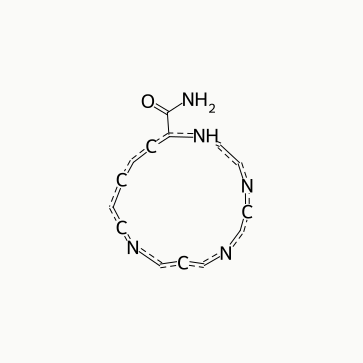 NC(=O)c1cccccncccnccncc[nH]1